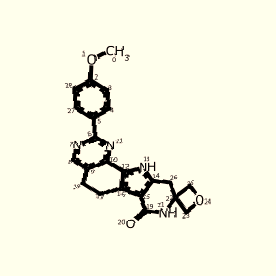 COc1ccc(-c2ncc3c(n2)-c2[nH]c4c(c2CC3)C(=O)NC2(COC2)C4)cc1